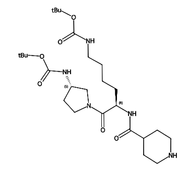 CC(C)(C)OC(=O)NCCCC[C@@H](NC(=O)C1CCNCC1)C(=O)N1CC[C@H](NC(=O)OC(C)(C)C)C1